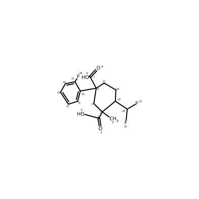 CC1(C(=O)O)CC(C(=O)O)(c2ccccc2F)CCC1C(F)F